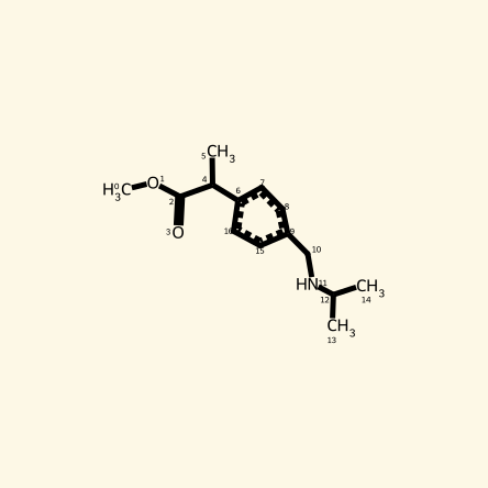 COC(=O)C(C)c1ccc(CNC(C)C)cc1